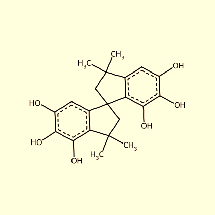 CC1(C)CC2(CC(C)(C)c3c2cc(O)c(O)c3O)c2c1cc(O)c(O)c2O